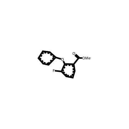 COC(=O)c1cccc(F)c1Oc1ccccc1